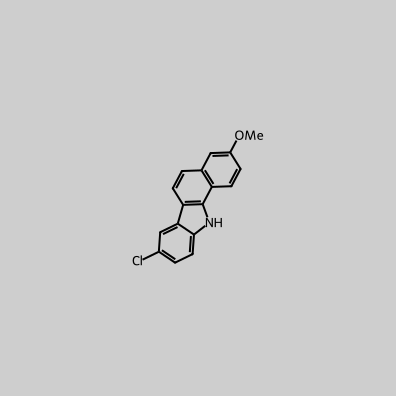 COc1ccc2c(ccc3c4cc(Cl)ccc4[nH]c23)c1